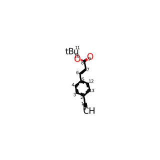 C#Cc1ccc(C=CC(=O)OC(C)(C)C)cc1